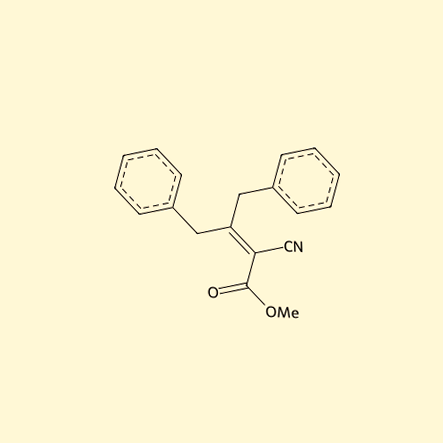 COC(=O)C(C#N)=C(Cc1ccccc1)Cc1ccccc1